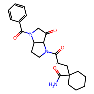 NC(=O)C1(C[CH]C(=O)N2CCC3C2C(=O)CN3C(=O)c2ccccc2)CCCCC1